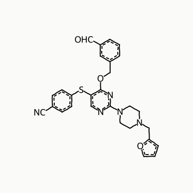 N#Cc1ccc(Sc2cnc(N3CCN(Cc4ccco4)CC3)nc2OCc2cccc(C=O)c2)cc1